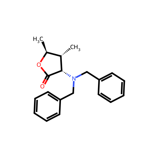 C[C@H]1[C@H](C)OC(=O)[C@H]1N(Cc1ccccc1)Cc1ccccc1